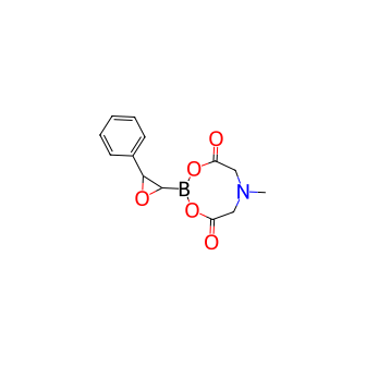 CN1CC(=O)OB(C2OC2c2ccccc2)OC(=O)C1